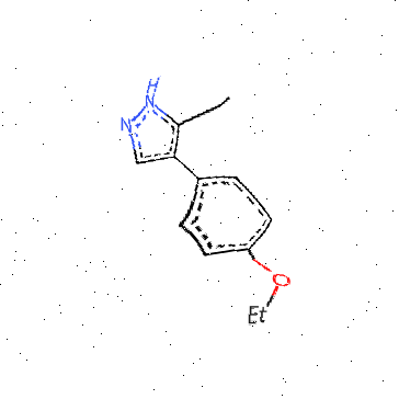 CCOc1ccc(-c2cn[nH]c2C)cc1